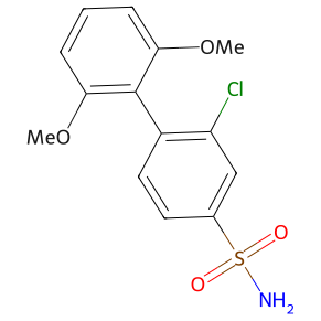 COc1cccc(OC)c1-c1ccc(S(N)(=O)=O)cc1Cl